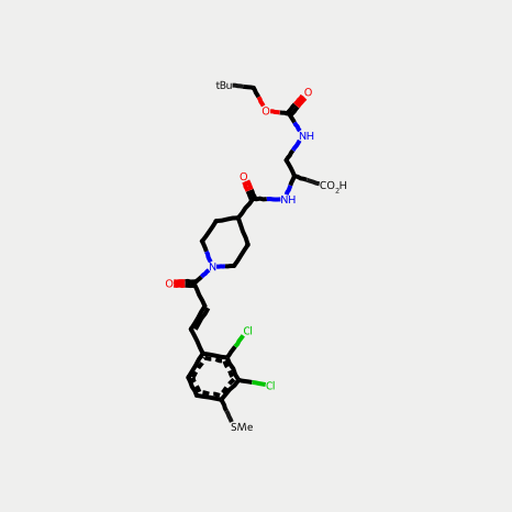 CSc1ccc(C=CC(=O)N2CCC(C(=O)NC(CNC(=O)OCC(C)(C)C)C(=O)O)CC2)c(Cl)c1Cl